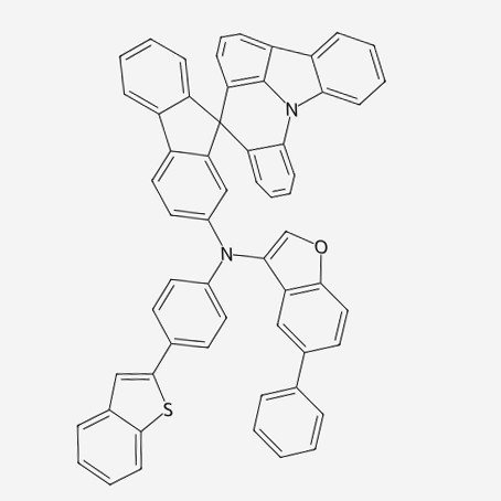 c1ccc(-c2ccc3occ(N(c4ccc(-c5cc6ccccc6s5)cc4)c4ccc5c(c4)C4(c6ccccc6-5)c5ccccc5-n5c6ccccc6c6cccc4c65)c3c2)cc1